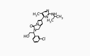 Cc1cnc(NC(C)C)nc1-c1cc2n(c1)C(=O)N(C(CO)c1cccc(Cl)c1)C2